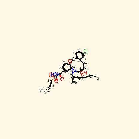 C=CC[C@H](O)[C@@H]1CC[C@H]1CN1CCCCc2cc(Cl)ccc2COc2ccc(C(=O)NS(=O)(=O)CC=C)cc21